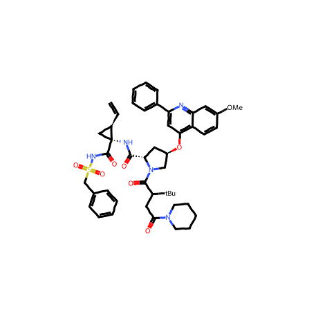 C=C[C@@H]1C[C@]1(NC(=O)[C@@H]1C[C@@H](Oc2cc(-c3ccccc3)nc3cc(OC)ccc23)CN1C(=O)C(CC(=O)N1CCCCC1)C(C)(C)C)C(=O)NS(=O)(=O)Cc1ccccc1